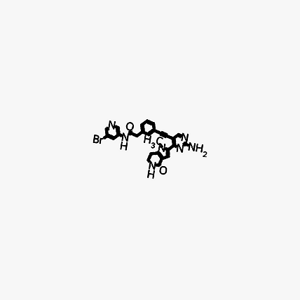 Cn1c(-c2nc(N)ncc2C#Cc2cccc(CC(=O)Nc3cncc(Br)c3)c2)cc2c1CCNC2=O